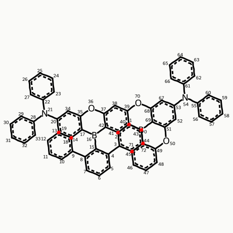 c1ccc(-c2cccc(-c3ccccc3)c2B2c3ccc(N(c4ccccc4)c4ccccc4)cc3Oc3cc4c(cc32)B2c3ccccc3Oc3cc(N(c5ccccc5)c5ccccc5)cc(c32)O4)cc1